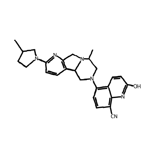 CC1CCN(c2ccc3c(n2)CN2C(C)CN(c4ccc(C#N)c5nc(O)ccc45)CC32)C1